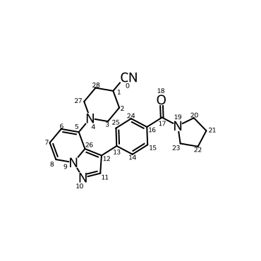 N#CC1CCN(c2cccn3ncc(-c4ccc(C(=O)N5CCCC5)cc4)c23)CC1